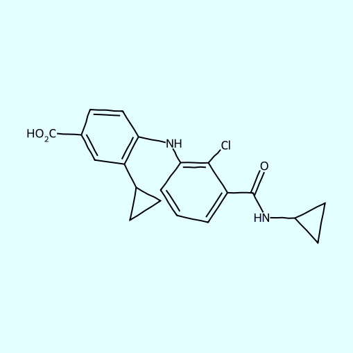 O=C(O)c1ccc(Nc2cccc(C(=O)NC3CC3)c2Cl)c(C2CC2)c1